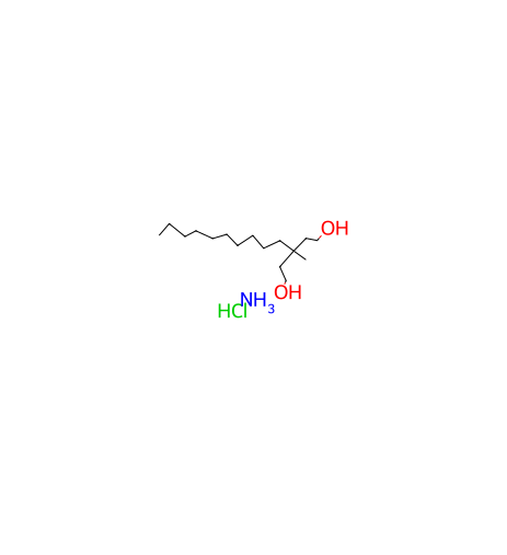 CCCCCCCCCCC(C)(CCO)CCO.Cl.N